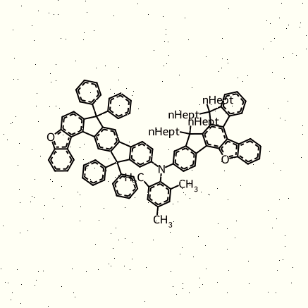 CCCCCCCC1(CCCCCCC)c2cc(N(c3ccc4c(c3)C(c3ccccc3)(c3ccccc3)c3cc5c(cc3-4)C(c3ccccc3)(c3ccccc3)c3ccc4oc6ccccc6c4c3-5)c3c(C)cc(C)cc3C)ccc2-c2c1c1c(c3c2oc2ccccc23)-c2ccccc2C1(CCCCCCC)CCCCCCC